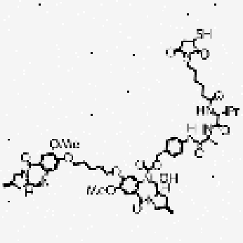 C=C1C[C@H]2C=Nc3cc(OCCCCCOc4cc5c(cc4OC)C(=O)N4CC(=C)C[C@H]4[C@H](O)N5C(=O)OCc4ccc(NC(=O)[C@H](C)NC(=O)[C@@H](NC(=O)CCCCCN5C(=O)CC(S)C5=O)C(C)C)cc4)c(OC)cc3C(=O)N2C1